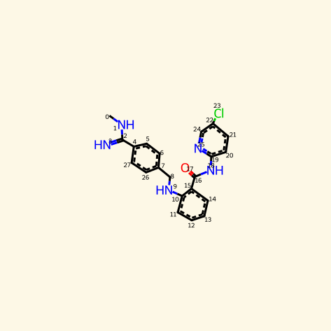 CNC(=N)c1ccc(CNc2ccccc2C(=O)Nc2ccc(Cl)cn2)cc1